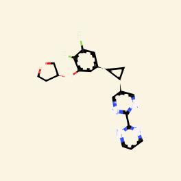 Fc1cc([C@H]2C[C@H]2c2cnc(-c3ncccn3)nc2)cc(O[C@H]2CCOC2)c1F